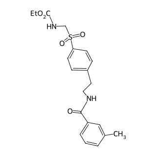 CCOC(=O)NCS(=O)(=O)c1ccc(CCNC(=O)c2cccc(C)c2)cc1